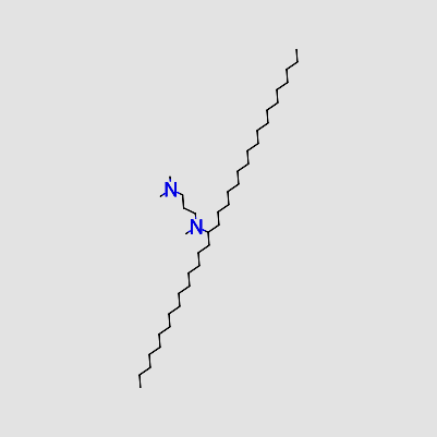 CCCCCCCCCCCCCCCCCCC(CCCCCCCCCCCCCCC)N(C)CCCN(C)C